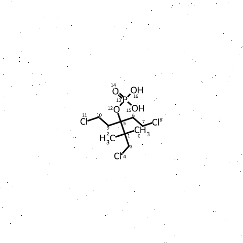 CC(C)(CCl)C(CCCl)(CCCl)OP(=O)(O)O